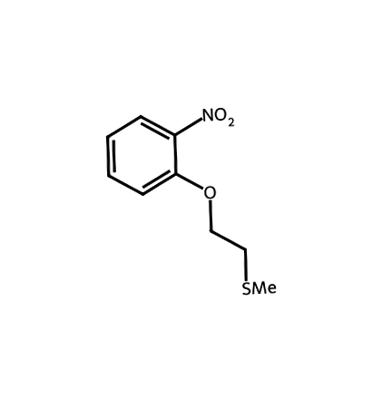 CSCCOc1ccccc1[N+](=O)[O-]